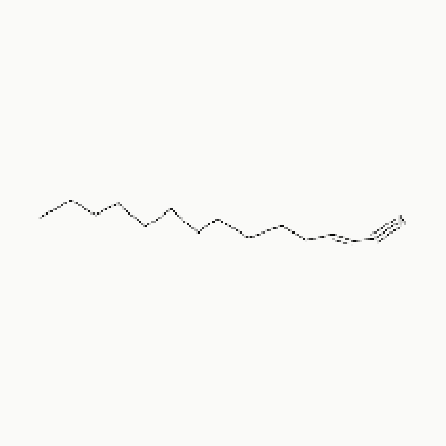 CCCCCCCCCCCC=CC#N